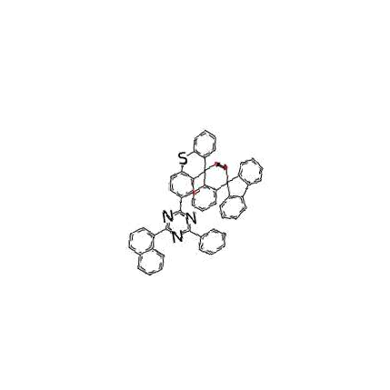 c1ccc(-c2nc(-c3ccc4c(c3)C3(c5ccccc5S4)c4ccccc4C4(c5ccccc5-c5ccccc54)c4ccccc43)nc(-c3cccc4ccccc34)n2)cc1